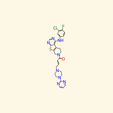 O=C(/C=C/CN1CCN(c2ncccn2)CC1)N1CCc2c(sc3ncnc(Nc4ccc(F)c(Cl)c4)c23)C1